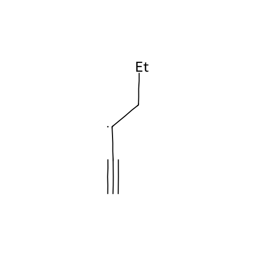 C#C[CH]CC[CH2]